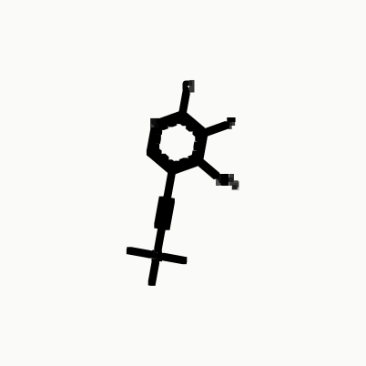 C[Si](C)(C)C#Cc1cnc(Cl)c(F)c1N